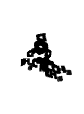 CCc1nn(C)c(CC)c1Oc1cc(Cl)cc(Cl)c1